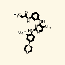 C=CC(=O)Nc1cccc(Nc2nc(Nc3ccc(N4CCOCC4)cc3OC)ncc2C(F)(F)F)c1